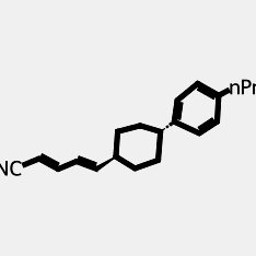 CCCc1ccc([C@H]2CC[C@H](/C=C/C=C/C#N)CC2)cc1